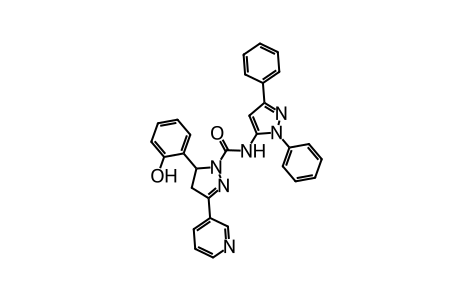 O=C(Nc1cc(-c2ccccc2)nn1-c1ccccc1)N1N=C(c2cccnc2)CC1c1ccccc1O